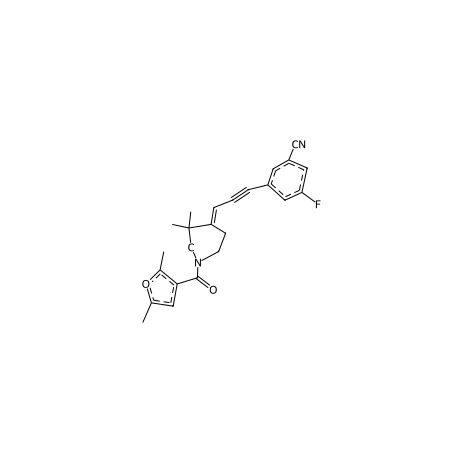 Cc1cc(C(=O)N2CC/C(=C\C#Cc3cc(F)cc(C#N)c3)C(C)(C)C2)c(C)o1